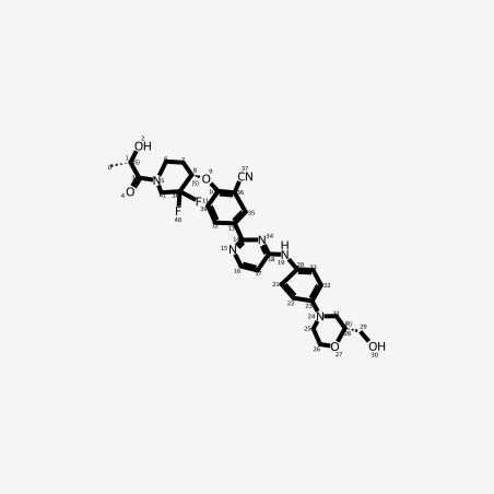 C[C@H](O)C(=O)N1CC[C@H](Oc2ccc(-c3nccc(Nc4ccc(N5CCO[C@@H](CO)C5)cc4)n3)cc2C#N)C(F)(F)C1